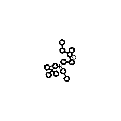 c1ccc(-c2ccc(N(c3cccc(-c4cccc5oc6c7ccccc7c(-c7cccc(-c8ccccc8)c7)cc6c45)c3)c3ccc4c(c3)C(c3ccccc3)(c3ccccc3)c3ccccc3-4)cc2)cc1